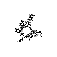 CC(C)[C@@H]1NC(=O)[C@H](CCCCN)NC(=O)[C@@H](Cc2ccc(F)cc2)NC(=O)[C@H](Cc2ccc(O)cc2)NC(=O)[C@@H](NC(=O)[C@H](N)Cc2ccc3ccccc3c2)CSSC[C@@H](C(=O)N[C@H](C(N)=O)C(C)O)NC1=O